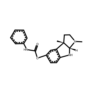 CN1CC[C@@]2(C)c3cc(OC(=O)Nc4ccccc4)ccc3N[C@@H]12